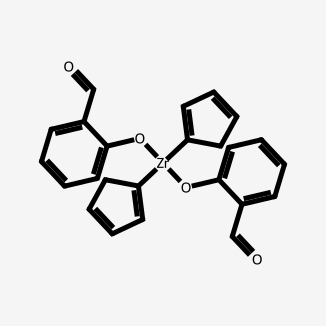 O=Cc1ccccc1[O][Zr]([O]c1ccccc1C=O)([C]1=CC=CC1)[C]1=CC=CC1